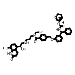 CC(C)CN(CCCNC[C@@H](O)c1ccc(O)c2[nH]c(=O)ccc12)C(=O)c1ccc(COc2cccc(C(NC(=O)O[C@H]3CN4CCC3CC4)c3ccccc3)c2)cc1